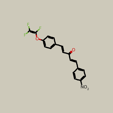 O=C(C=Cc1ccc(OC(F)=C(F)F)cc1)C=Cc1ccc([N+](=O)[O-])cc1